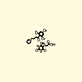 COc1cc(OC)c(C(=O)CCCN2CCCC2)c(OC)c1.Cn1c(=O)c2c(ncn2CC(=O)O)n(C)c1=O